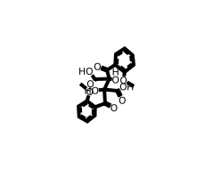 COc1ccccc1C(=O)C(O)(C(=O)O)C(O)(C(=O)O)C(=O)c1ccccc1OC